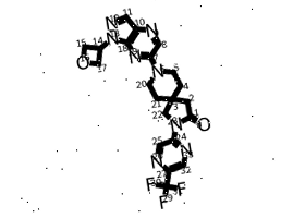 O=C1CC2(CCN(c3cnc4cnn(C5COC5)c4n3)CC2)CN1c1cnc(C(F)(F)F)cn1